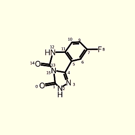 O=c1[nH]nc2c3cc(F)ccc3[nH]c(=O)n12